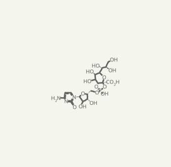 Nc1ccn([C@@H]2O[C@H](COP(=O)(O)O[C@@]3(C(=O)O)CC(O)[C@@H](O)C([C@H](O)[C@H](O)CO)O3)[C@H](O)C2O)c(=O)n1